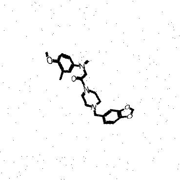 COc1ccc(N(C)CC(=O)N2CCN(Cc3ccc4c(c3)OCO4)CC2)cc1C